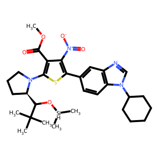 COC(=O)c1c(N2CCC[C@@H]2C(O[SiH](C)C)C(C)(C)C)sc(-c2ccc3c(c2)ncn3C2CCCCC2)c1[N+](=O)[O-]